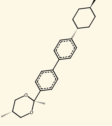 CCC[C@H]1CC[C@H](c2ccc(-c3ccc([C@]4(C)OC[C@@H](C)CO4)cc3)cc2)CC1